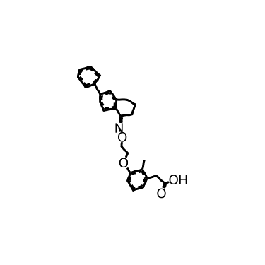 Cc1c(CC(=O)O)cccc1OCCO/N=C1\CCCc2cc(-c3ccccc3)ccc21